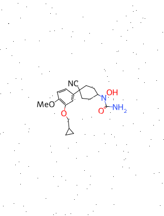 COc1ccc(C2(C#N)CCC(N(O)C(N)=O)CC2)cc1OCC1CC1